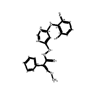 CO/C=C(\C(=O)OOc1cc(Oc2c(F)cccc2F)ncn1)c1ccccc1